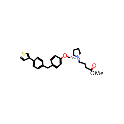 COC(=O)CCCN1CCC[C@H]1COc1ccc(Cc2ccc(-c3ccsc3)cc2)cc1